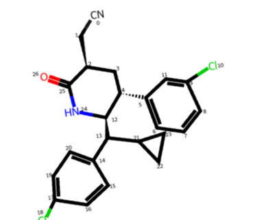 N#CC[C@H]1C[C@H](c2cccc(Cl)c2)[C@@H](C(c2ccc(Cl)cc2)C2CC2)NC1=O